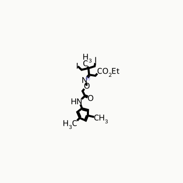 CCOC(=O)C/C(=N\OCC(=O)Nc1cc(C)cc(C)c1)C(C)(CI)CI